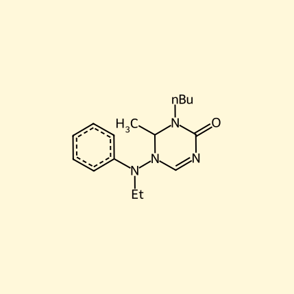 CCCCN1C(=O)N=CN(N(CC)c2ccccc2)C1C